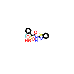 O=C(Nc1nc2ccccc2s1)C(c1ccccc1F)S(=O)(=O)O